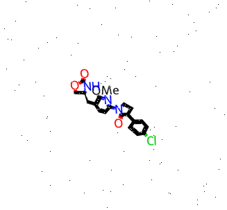 COc1nc(N2CCC(c3ccc(Cl)cc3)C2=O)ccc1C[C@H]1COC(=O)N1